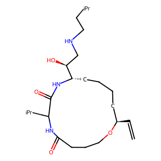 C=C[C@@H]1CCCC[C@@H]([C@@H](O)CNCCC(C)C)NC(=O)C(C(C)C)NC(=O)CCCO1